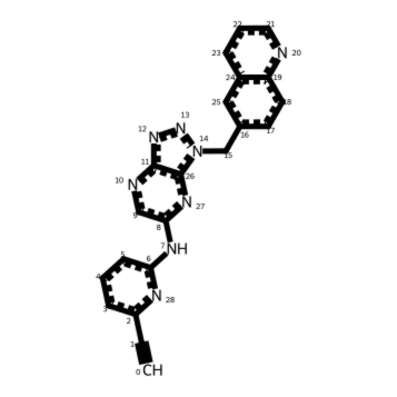 C#Cc1cccc(Nc2cnc3nnn(Cc4ccc5ncccc5c4)c3n2)n1